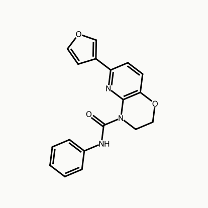 O=C(Nc1ccccc1)N1CCOc2ccc(-c3ccoc3)nc21